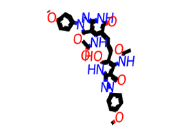 COc1ccc(N2N=c3[nH]c(=O)c(=CC=Cc4c(O)[nH]c5nn(-c6ccc(OC)cc6)c(=O)c-5c4NC(C)=O)c(NC(C)=O)c3C2=O)cc1